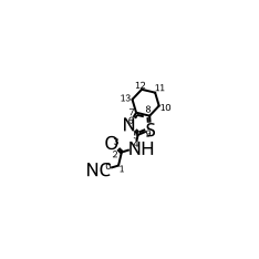 N#CCC(=O)Nc1nc2c(s1)CCCC2